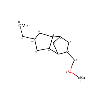 CCCCOCC1CC2CC1C1CC(COC)CC21